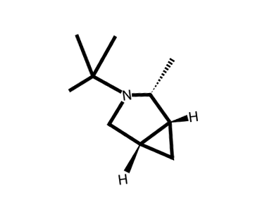 C[C@@H]1[C@@H]2C[C@@H]2CN1C(C)(C)C